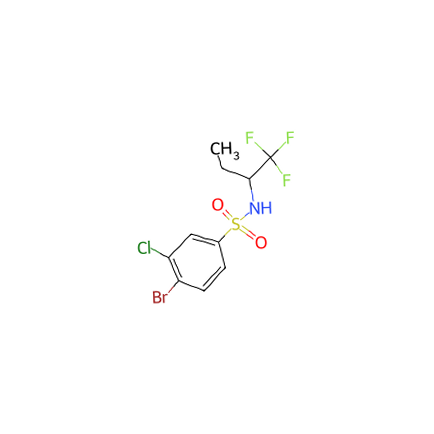 CCC(NS(=O)(=O)c1ccc(Br)c(Cl)c1)C(F)(F)F